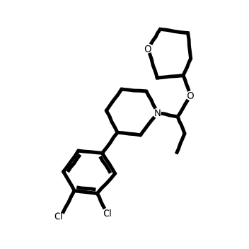 CCC(OC1CCCOC1)N1CCCC(c2ccc(Cl)c(Cl)c2)C1